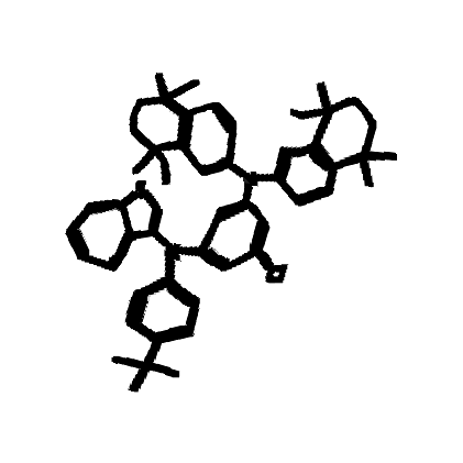 CC(C)(C)c1ccc(N(c2cc(Cl)cc(N(c3ccc4c(c3)C(C)(C)CCC4(C)C)c3ccc4c(c3)C(C)(C)CCC4(C)C)c2)c2csc3ccccc23)cc1